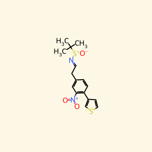 CC(C)(C)[S+]([O-])N=CCc1ccc(-c2ccsc2)c([N+](=O)[O-])c1